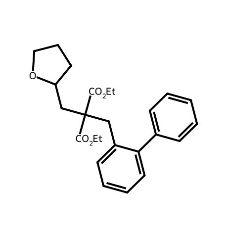 CCOC(=O)C(Cc1ccccc1-c1ccccc1)(CC1CCCO1)C(=O)OCC